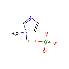 CC[N+]1(C)C=CN=C1.[O-][Cl+3]([O-])([O-])[O-]